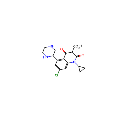 O=C(O)C1C(=O)c2c(C3CNCCN3)cc(Cl)cc2N(C2CC2)C1=O